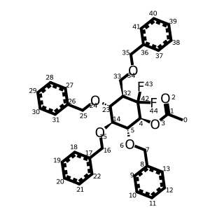 CC(=O)O[C@H]1[C@H](OCc2ccccc2)[C@@H](OCc2ccccc2)[C@H](OCc2ccccc2)[C@@H](COCc2ccccc2)C1(F)F